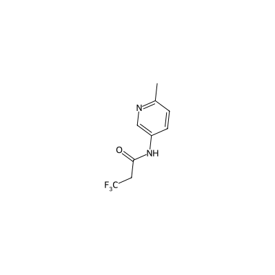 Cc1ccc(NC(=O)CC(F)(F)F)cn1